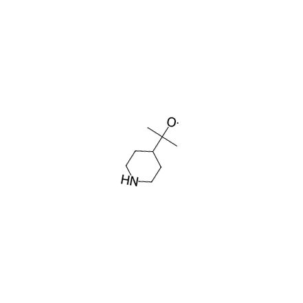 CC(C)([O])C1CCNCC1